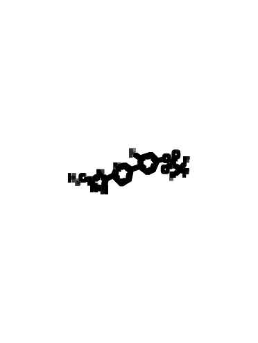 Cn1nnc(-c2ccc(-c3ccc(OS(=O)(=O)C(F)(F)F)cc3F)cn2)n1